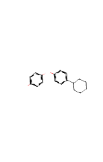 Oc1ccc(Oc2ccc(C3CCCCC3)cc2)cc1